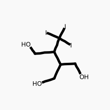 OCC(CO)C(CO)C(I)(I)I